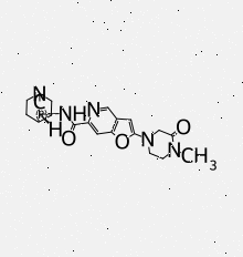 CN1CCN(c2cc3cnc(C(=O)N[C@H]4CN5CCC4CC5)cc3o2)CC1=O